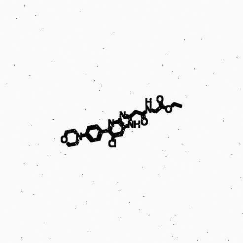 CCOC(=O)CNC(=O)Cc1nc2nc(-c3ccc(N4CCOCC4)cc3)c(Cl)cc2[nH]1